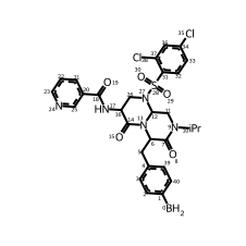 Bc1ccc(CC2C(=O)N(C(C)C)CC3N2C(=O)C(NC(=O)c2cccnc2)CN3S(=O)(=O)c2ccc(Cl)cc2Cl)cc1